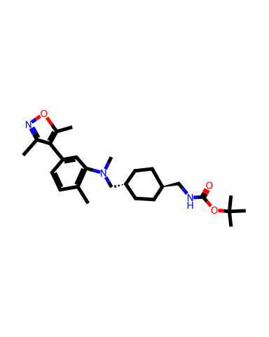 Cc1ccc(-c2c(C)noc2C)cc1N(C)C[C@H]1CC[C@H](CNC(=O)OC(C)(C)C)CC1